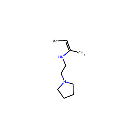 CC(=O)/C=C(/C)NCCN1CCCC1